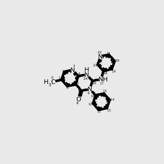 Cc1cnc2c(c1)C(=O)N(c1ccccc1)C(Nc1cccnc1)N2